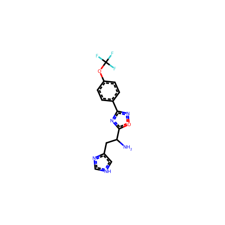 NC(Cc1c[nH]cn1)c1nc(-c2ccc(OC(F)(F)F)cc2)no1